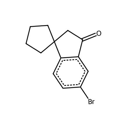 O=C1CC2(CCCC2)c2ccc(Br)cc21